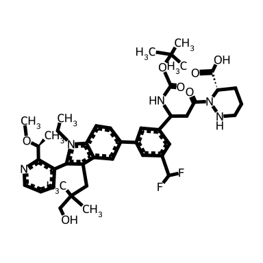 CCn1c(-c2cccnc2[C@H](C)OC)c(CC(C)(C)CO)c2cc(-c3cc(C(F)F)cc(C(CC(=O)N4NCCC[C@H]4C(=O)O)NC(=O)OC(C)(C)C)c3)ccc21